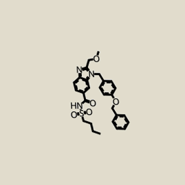 CCCCS(=O)(=O)NC(=O)c1ccc2nc(COC)n(Cc3ccc(OCc4ccccc4)cc3)c2c1